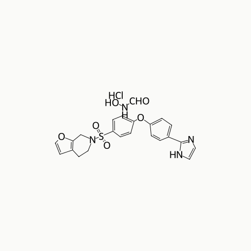 Cl.O=CNO.O=S(=O)(c1ccc(Oc2ccc(-c3ncc[nH]3)cc2)cc1)N1CCc2ccoc2C1